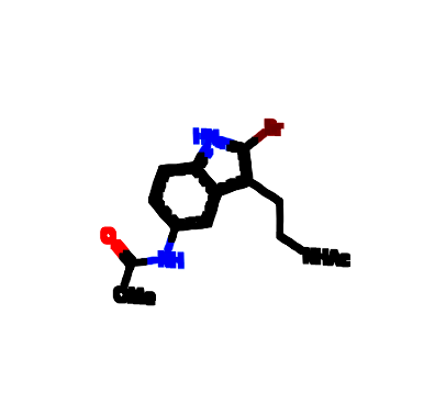 COC(=O)Nc1ccc2[nH]c(Br)c(CCNC(C)=O)c2c1